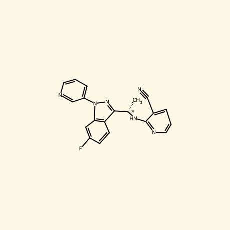 C[C@H](Nc1ncccc1C#N)c1nn(-c2cccnc2)c2cc(F)ccc12